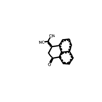 N#CC(C#N)=C1CC(=O)c2cccc3cccc1c23